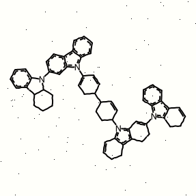 C1=Cc2c(c3c(n2C2C=CC(C4C=CC(n5c6ccccc6c6ccc(N7c8ccccc8C8CCCCC87)cc65)=CC4)CC2)C=C(n2c4c(c5ccccc52)C=CCC4)CC3)CC1